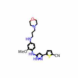 COc1cc(NCCCN2CCOCC2)ccc1Nc1cc(-c2ccc(C#N)s2)n[nH]1